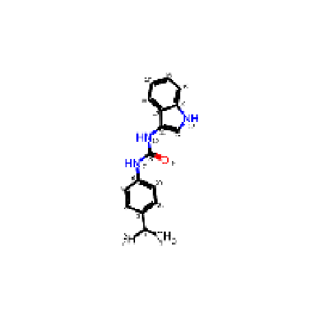 [2H]C(C)c1ccc(NC(=O)Nc2c[nH]c3ccccc23)cc1